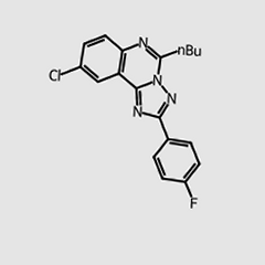 CCCCc1nc2ccc(Cl)cc2c2nc(-c3ccc(F)cc3)nn12